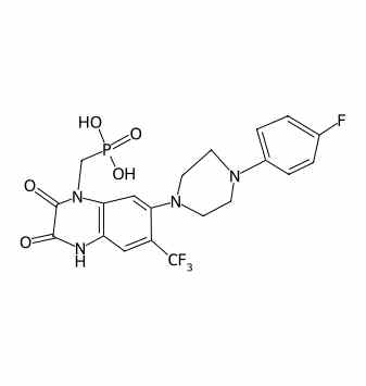 O=c1[nH]c2cc(C(F)(F)F)c(N3CCN(c4ccc(F)cc4)CC3)cc2n(CP(=O)(O)O)c1=O